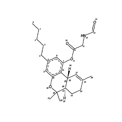 CCCCCc1cc(OC(=O)CNC=O)c2c(c1)OC(C)(C)[C@@H]1CCC(C)=C[C@@H]21